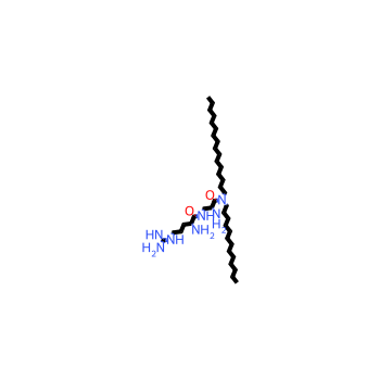 CCCCCCCCCCCCCCCCN(CCCCCCCCCCCCC)C(=O)C(N)CNC(=O)C(N)CCCNC(=N)N